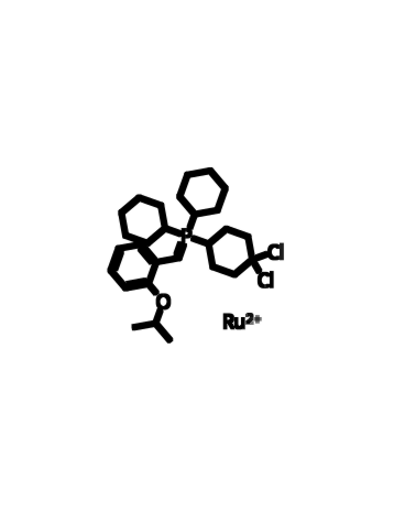 CC(C)Oc1ccccc1C=P(C1CCCCC1)(C1CCCCC1)C1CCC(Cl)(Cl)CC1.[Ru+2]